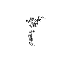 N=C(N)NCCC[C@H](NC(=O)CNC(=O)[C@@H](N)CCCCNC(=O)CCC(F)(F)C(F)(F)C(F)(F)C(F)(F)C(F)(F)C(F)(F)C(F)(F)C(F)(F)F)C(=O)N1CCC[C@H]1C(N)=O